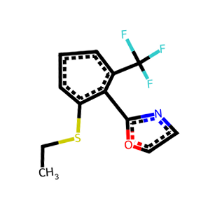 CCSc1cccc(C(F)(F)F)c1-c1ncco1